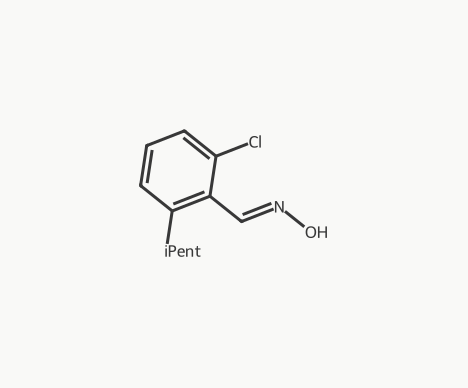 CCCC(C)c1cccc(Cl)c1/C=N/O